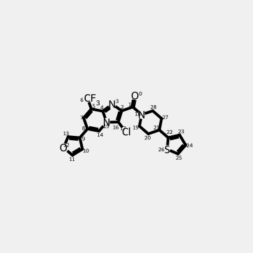 O=C(c1nc2c(C(F)(F)F)cc(-c3ccoc3)cn2c1Cl)N1CCC(c2cccs2)CC1